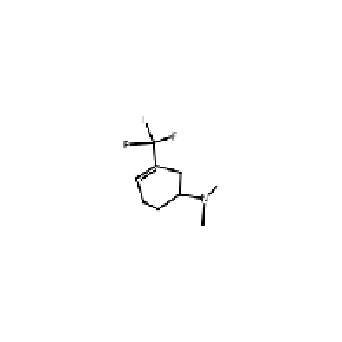 CN(C)C1CCC=C(C(F)(F)F)C1